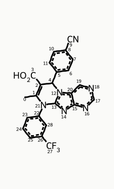 CC1=C(C(=O)O)C(c2ccc(C#N)cc2)n2c(nc3ncncc32)N1c1cccc(C(F)(F)F)c1